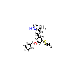 CNC1C=C(c2cc(OCc3ccccc3)cc(SC)c2)C=C1C